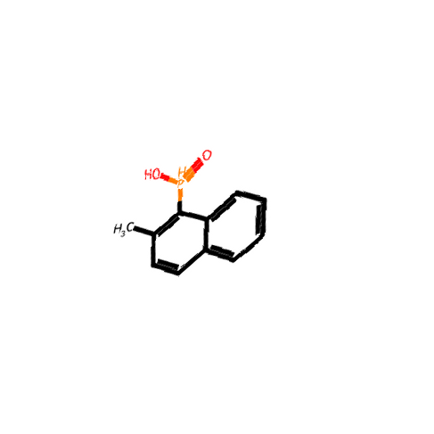 Cc1ccc2ccccc2c1[PH](=O)O